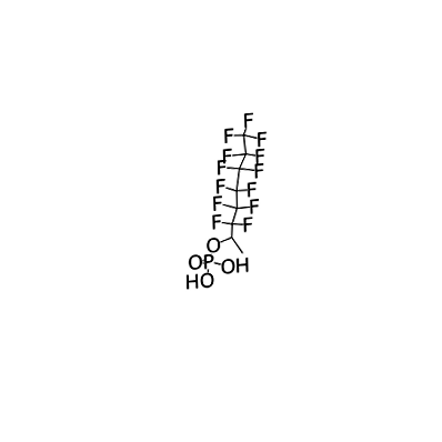 CC(OP(=O)(O)O)C(F)(F)C(F)(F)C(F)(F)C(F)(F)C(F)(F)C(F)(F)F